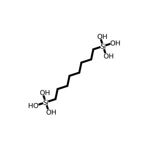 O[Si](O)(O)CCCCCCCC[Si](O)(O)O